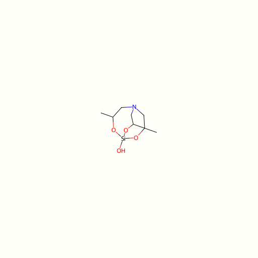 CC1CN2CCO[Si](O)(O1)OC(C)C2